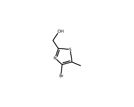 Cc1sc(CO)nc1Br